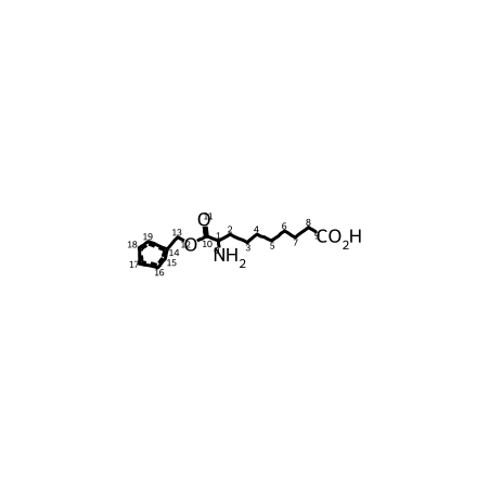 NC(CCCCCCCC(=O)O)C(=O)OCc1ccccc1